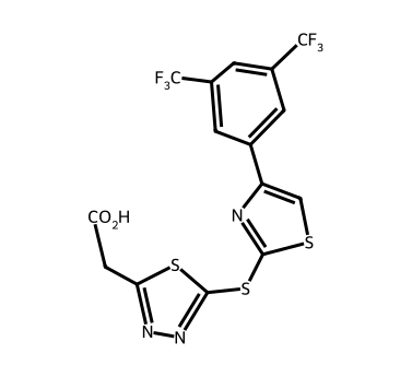 O=C(O)Cc1nnc(Sc2nc(-c3cc(C(F)(F)F)cc(C(F)(F)F)c3)cs2)s1